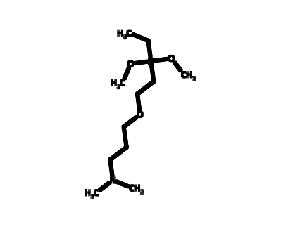 CC[Si](CCOCCCN(C)C)(OC)OC